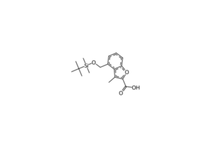 Cc1c(C(=O)O)oc2cccc(CO[Si](C)(C)C(C)(C)C)c12